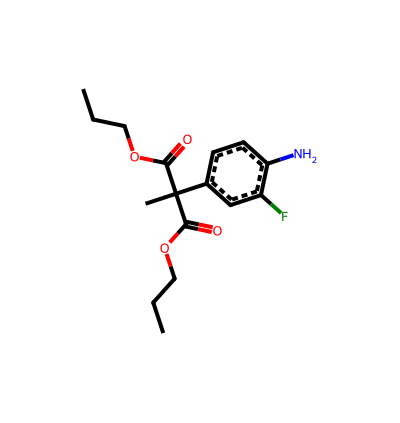 CCCOC(=O)C(C)(C(=O)OCCC)c1ccc(N)c(F)c1